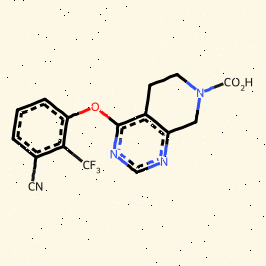 N#Cc1cccc(Oc2ncnc3c2CCN(C(=O)O)C3)c1C(F)(F)F